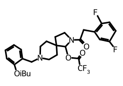 CC(C)COc1ccccc1CN1CCC2(CC1)CCN(C(=O)Cc1cc(F)ccc1F)C2OC(=O)C(F)(F)F